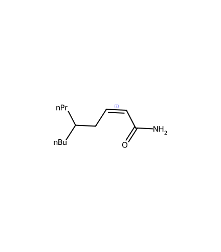 CCCCC(C/C=C\C(N)=O)CCC